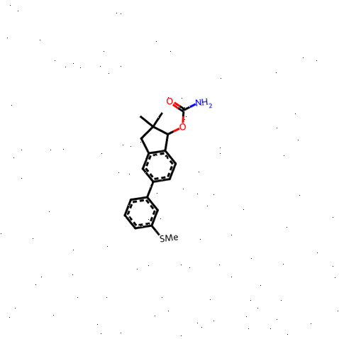 CSc1cccc(-c2ccc3c(c2)CC(C)(C)C3OC(N)=O)c1